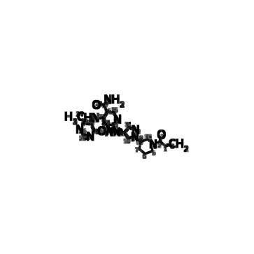 C=CC(=O)N1CCC[C@H](n2cc(Nc3ncc(C(N)=O)c(Nc4c(C)ncnc4OC)n3)cn2)C1